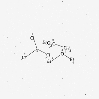 CCOC(C)=O.CCOCC.ClC(Cl)Cl